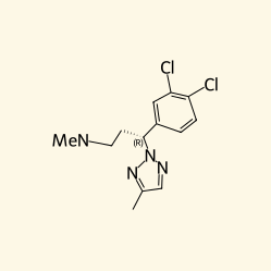 CNCC[C@H](c1ccc(Cl)c(Cl)c1)n1ncc(C)n1